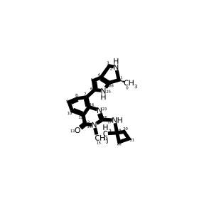 C[C@H]1NCc2cc(-c3cccc4c(=O)n(C)c(NC5(C)CCC5)nc34)[nH]c21